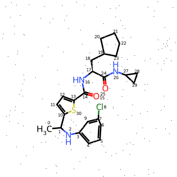 CC(Nc1cccc(Cl)c1)c1ccc(C(=O)N[C@@H](CC2CCCC2)C(=O)NC2CC2)s1